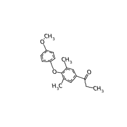 CCC(=O)c1cc(C)c(Oc2ccc(OC)cc2)c(C)c1